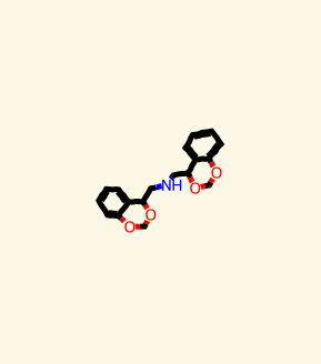 c1ccc2c(c1)OCOC2CNCC1OCOc2ccccc21